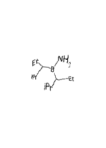 CCC(B(N)C(CC)C(C)C)C(C)C